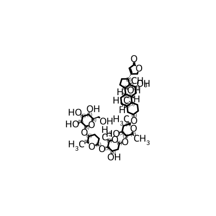 C[C@H]1O[C@@H](O[C@H]2[C@@H](O)C[C@](C)(O[C@H]3CC[C@@]4(C)[C@H](CC[C@@H]5[C@@H]4C[C@@H](O)[C@]4(C)[C@@H](C6=CC(=O)OC6)CC[C@]54O)C3)O[C@@H]2C)C[C@H](O)[C@@H]1O[C@H]1CC[C@H](O[C@@H]2O[C@H](CO)[C@@H](O)[C@H](O)[C@H]2O)[C@@H](C)O1